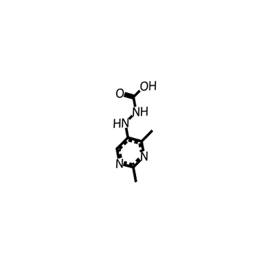 Cc1ncc(NNC(=O)O)c(C)n1